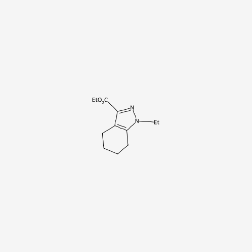 CCOC(=O)c1nn(CC)c2c1CCCC2